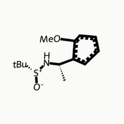 COc1ccccc1[C@H](C)N[S@+]([O-])C(C)(C)C